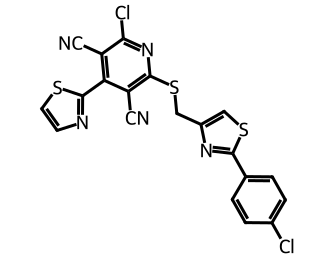 N#Cc1c(Cl)nc(SCc2csc(-c3ccc(Cl)cc3)n2)c(C#N)c1-c1nccs1